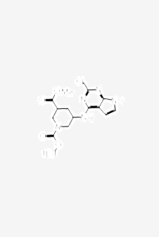 COC(=O)C1CC(Nc2nc(Cl)nc3[nH]ccc23)CN(C(=O)OC(C)(C)C)C1